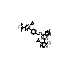 COc1ncnc(C2CC2)c1-c1nc(OCc2ccc(-c3nc(C(F)(F)F)cn3C3CC3)cc2)c2cn(C)nc2n1